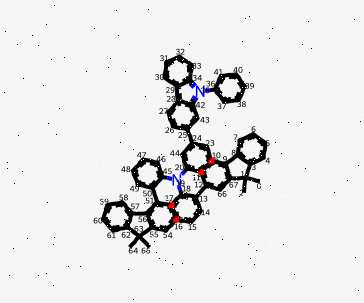 CC1(C)c2ccccc2-c2ccc(-c3ccccc3N(c3cccc(-c4ccc5c6ccccc6n(-c6ccccc6)c5c4)c3)c3ccccc3-c3cccc4c3-c3ccccc3C4(C)C)cc21